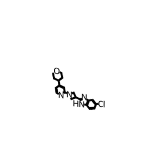 Clc1ccc2[nH]c(C3CN(c4cc(C5CCOCC5)ccn4)C3)nc2c1